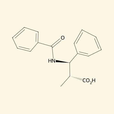 C[C@@H](C(=O)O)[C@@H](NC(=O)c1ccccc1)c1ccccc1